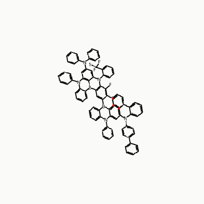 Fc1c2c(cc3c1N(c1ccccc1C(F)(F)F)c1cc(N(c4ccccc4)c4ccccc4)cc4c1B3c1ccccc1N4c1ccccc1)B1c3ccccc3N(c3ccccc3)c3cc(N(c4ccc(-c5ccccc5)cc4)c4ccccc4-c4ccccc4)cc(c31)S2